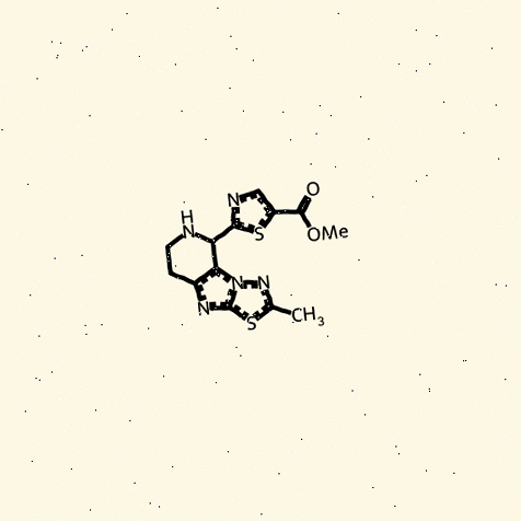 COC(=O)c1cnc(C2NCCc3nc4sc(C)nn4c32)s1